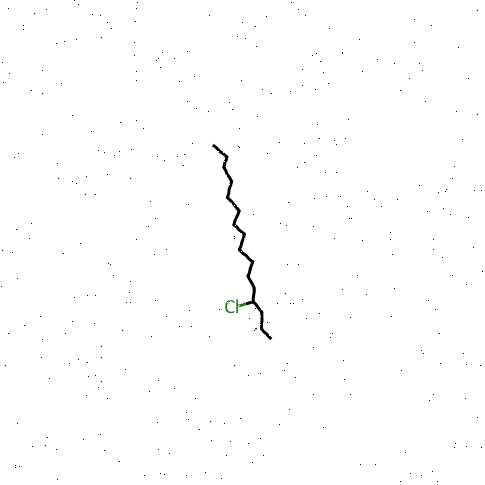 C[CH]CC(Cl)CCCCCCCCCCCC